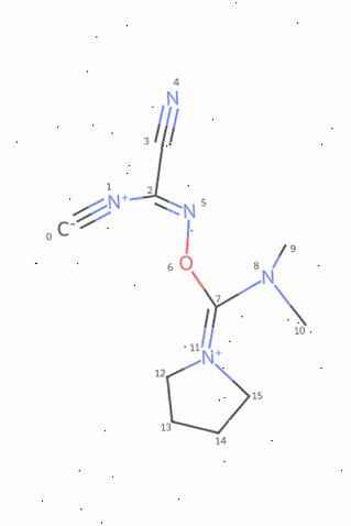 [C-]#[N+]C(C#N)=NOC(N(C)C)=[N+]1CCCC1